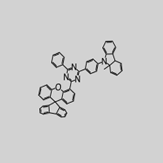 CC12C=CC=CC1c1ccccc1N2c1ccc(-c2nc(-c3ccccc3)nc(-c3cccc4c3Oc3ccccc3C43c4ccccc4-c4ccccc43)n2)cc1